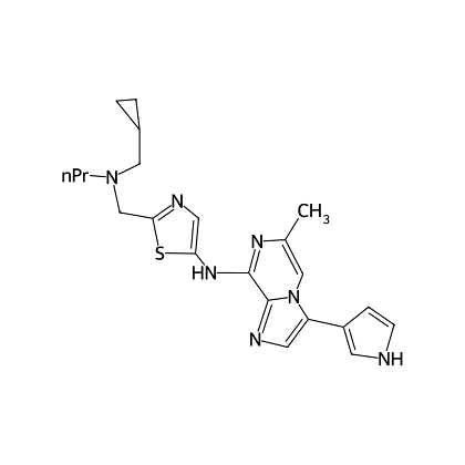 CCCN(Cc1ncc(Nc2nc(C)cn3c(-c4cc[nH]c4)cnc23)s1)CC1CC1